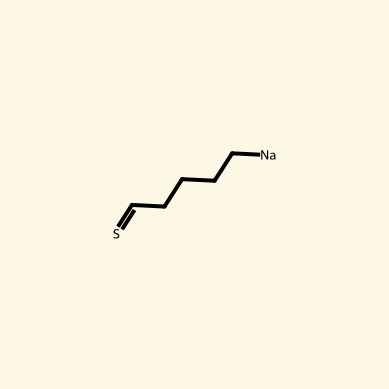 [Na][CH2]CCCC=S